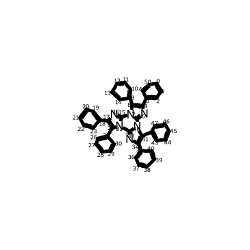 c1ccc(-c2nc3n(c2-c2ccccc2)c2nc(-c4ccccc4)c(-c4ccccc4)n2c2nc(-c4ccccc4)c(-c4ccccc4)n32)cc1